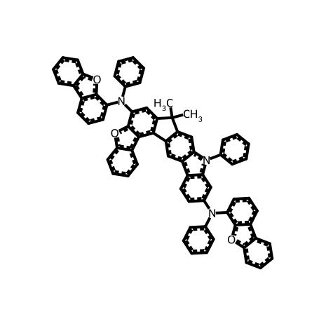 CC1(C)c2cc3c(cc2-c2c1cc(N(c1ccccc1)c1cccc4c1oc1ccccc14)c1oc4ccccc4c21)c1ccc(N(c2ccccc2)c2cccc4c2oc2ccccc24)cc1n3-c1ccccc1